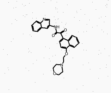 O=C(Nc1cnc2ccccc2c1)C(=O)c1ccc(OCCN2CCOCC2)c2ccccc12